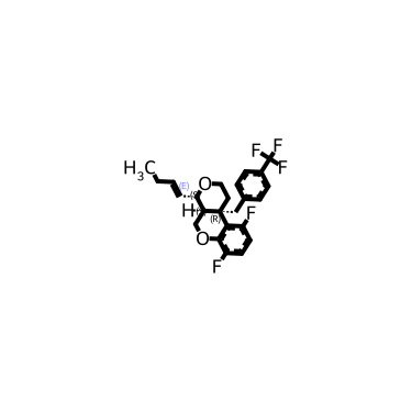 CC/C=C/[C@@H]1OCC[C@@]2(Cc3ccc(C(F)(F)F)cc3)c3c(F)ccc(F)c3OC[C@@H]12